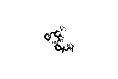 C[C@@H]1CCCN(Cc2cc(C(=O)Nc3cccc(C(C)(C)Cc4nncn4C)c3)c(=O)n(CC(F)(F)F)c2)C1